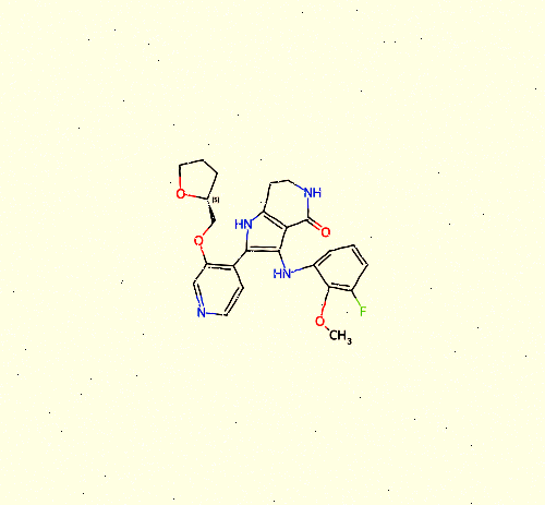 COc1c(F)cccc1Nc1c(-c2ccncc2OC[C@@H]2CCCO2)[nH]c2c1C(=O)NCC2